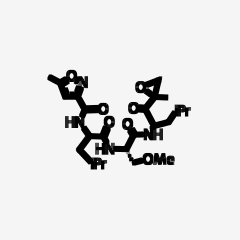 COC[C@H](NC(=O)C(CC(C)C)NC(=O)c1cc(C)on1)C(=O)NC(CC(C)C)C(=O)C1(C)CO1